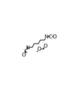 COC=O.O=C=NCCCCCN=C=O